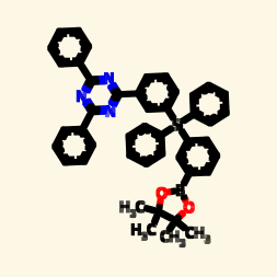 CC1(C)OB(c2cccc([Si](c3ccccc3)(c3ccccc3)c3cccc(-c4nc(-c5ccccc5)nc(-c5ccccc5)n4)c3)c2)OC1(C)C